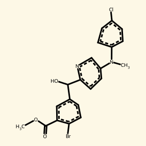 COC(=O)c1cc(C(O)c2ccc(N(C)c3ccc(Cl)cc3)cn2)ccc1Br